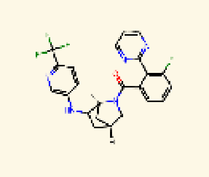 O=C(c1cccc(F)c1-c1ncccn1)N1C[C@@H]2C[C@@H](Nc3ccc(C(F)(F)F)nc3)[C@@H]1C2